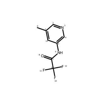 Cc1cncc(NC(=O)C(F)(F)F)c1